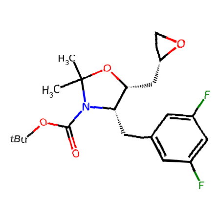 CC(C)(C)OC(=O)N1[C@@H](Cc2cc(F)cc(F)c2)[C@@H](C[C@@H]2CO2)OC1(C)C